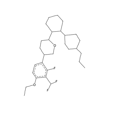 CCCC1CCC(C2CCCCC2C2CCC(c3ccc(OCC)c(C(F)F)c3F)CO2)CC1